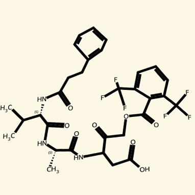 CC(C)[C@H](NC(=O)CCc1ccccc1)C(=O)N[C@@H](C)C(=O)NC(CC(=O)O)C(=O)COC(=O)c1c(C(F)(F)F)cccc1C(F)(F)F